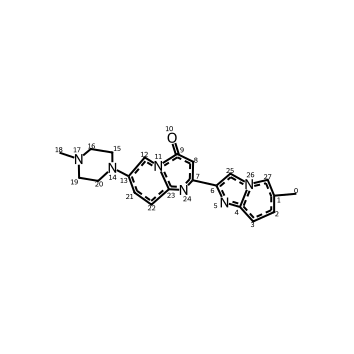 Cc1ccc2nc(-c3cc(=O)n4cc(N5CCN(C)CC5)ccc4n3)cn2c1